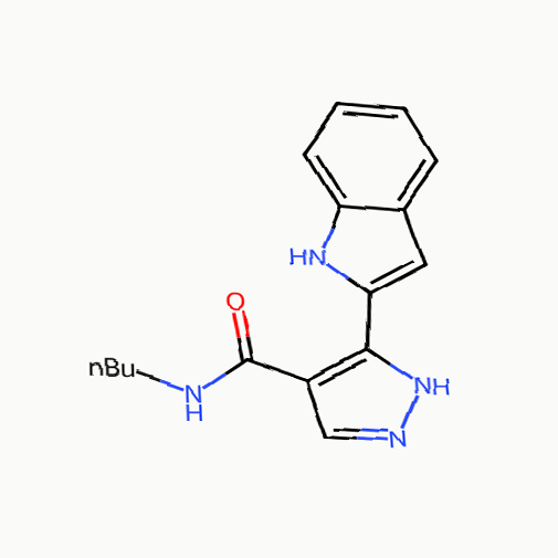 CCCCNC(=O)c1cn[nH]c1-c1cc2ccccc2[nH]1